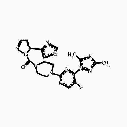 Cc1nc(C)n(-c2nc(N3CCN(C(=O)N4N=CCC4c4cscn4)CC3)ncc2F)n1